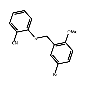 COc1ccc(Br)cc1CSc1ccccc1C#N